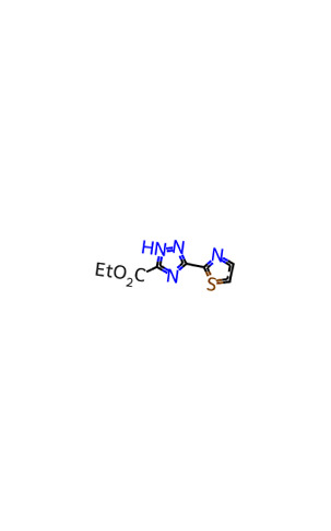 CCOC(=O)c1nc(-c2nccs2)n[nH]1